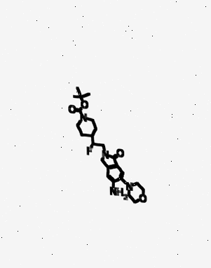 CC(C)(C)OC(=O)N1CCC([C@H](F)CN2Cc3cc(N)c(N4CCOCC4)cc3C2=O)CC1